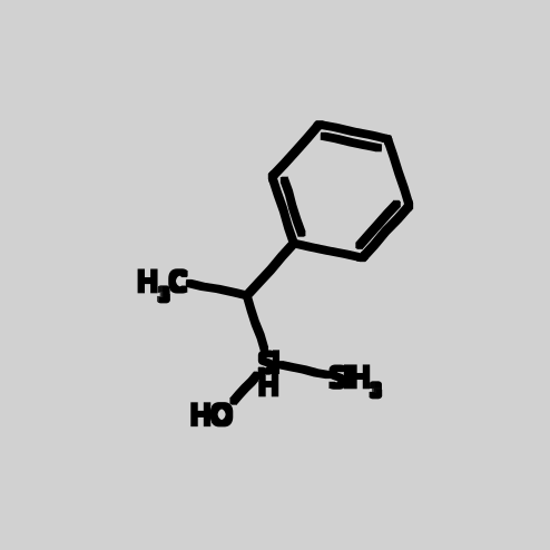 CC(c1ccccc1)[SiH](O)[SiH3]